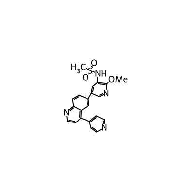 COc1ncc(-c2ccc3nccc(-c4ccncc4)c3c2)cc1NS(C)(=O)=O